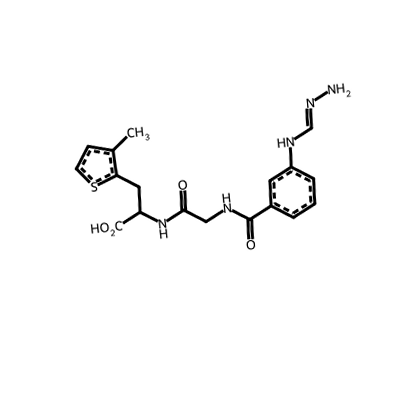 Cc1ccsc1CC(NC(=O)CNC(=O)c1cccc(NC=NN)c1)C(=O)O